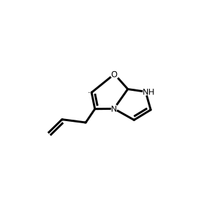 C=CCC1=[C]OC2NC=CN12